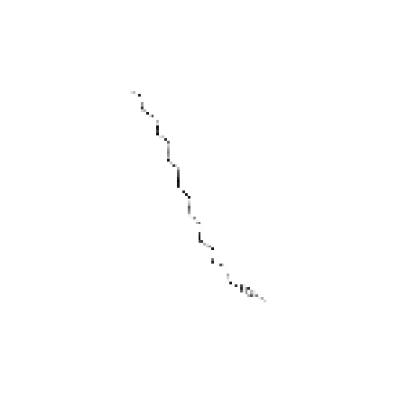 CC#CCCCCCCCCCCCCCCCCC